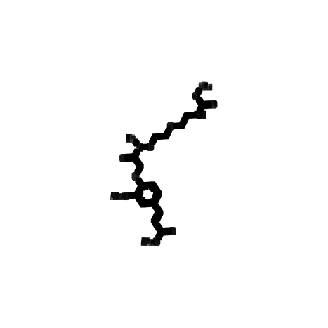 CCN(OCCOCCNC(=O)OC(C)(C)C)C(=O)COc1ccc(C=CC(=O)OC)cc1OC